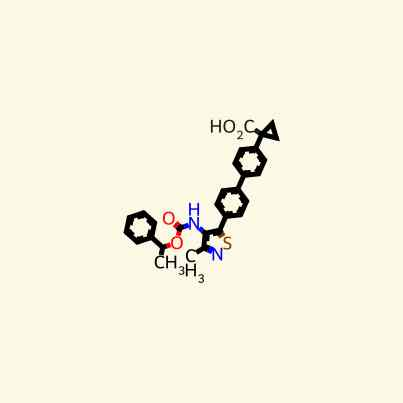 Cc1nsc(-c2ccc(-c3ccc(C4(C(=O)O)CC4)cc3)cc2)c1NC(=O)OC(C)c1ccccc1